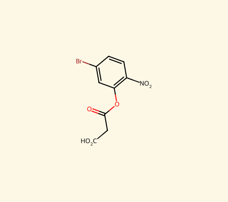 O=C(O)CC(=O)Oc1cc(Br)ccc1[N+](=O)[O-]